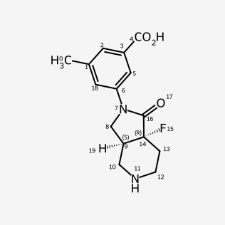 Cc1cc(C(=O)O)cc(N2C[C@@H]3CNCC[C@]3(F)C2=O)c1